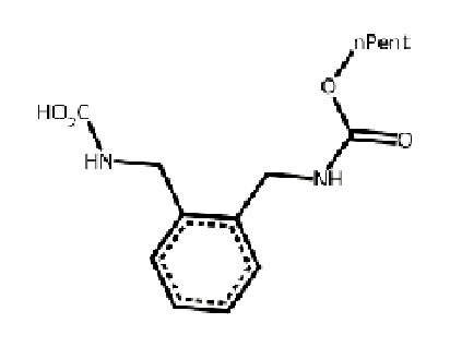 CCCCCOC(=O)NCc1ccccc1CNC(=O)O